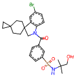 CC(C)(CO)NS(=O)(=O)c1cccc(C(=O)N2CC3(CCC4(CC4)CC3)c3cc(Br)ccc32)c1